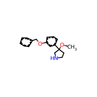 COC1(c2cccc(OCc3ccccc3)c2)CCNC1